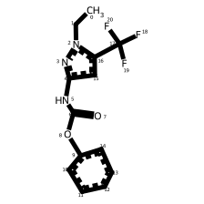 CCn1nc(NC(=O)Oc2ccccc2)cc1C(F)(F)F